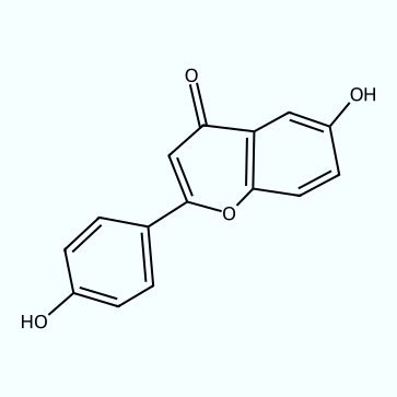 O=c1cc(-c2ccc(O)cc2)oc2ccc(O)cc12